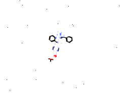 CC(C)(C)OC(=O)N1CCN(c2nc3c(-c4ccccc4F)nnn3c3ccccc23)CC1